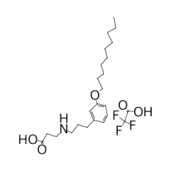 CCCCCCCCCCOc1cccc(CCCNCCC(=O)O)c1.O=C(O)C(F)(F)F